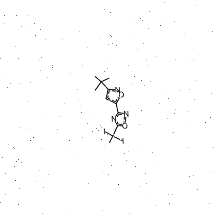 CC(C)(C)c1cc(-c2noc(C(C)(I)I)n2)on1